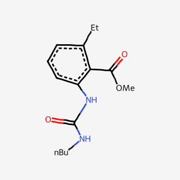 CCCCNC(=O)Nc1cccc(CC)c1C(=O)OC